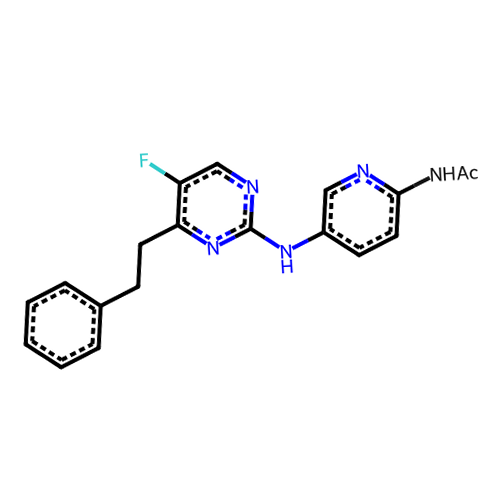 CC(=O)Nc1ccc(Nc2ncc(F)c(CCc3ccccc3)n2)cn1